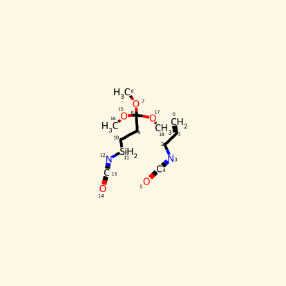 C=CCN=C=O.COC(CC[SiH2]N=C=O)(OC)OC